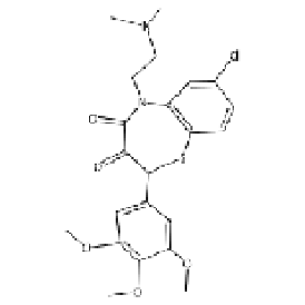 COc1cc(C2Sc3ccc(Cl)cc3N(CCN(C)C)C(=O)C2=O)cc(OC)c1OC